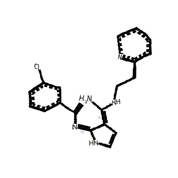 C=C(/N=C1/NC=C/C1=C(/N)NCCc1ccccn1)c1cccc(Cl)c1